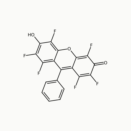 O=c1c(F)c2oc3c(F)c(O)c(F)c(F)c3c(-c3ccccc3)c-2c(F)c1F